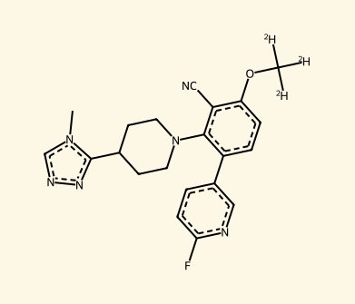 [2H]C([2H])([2H])Oc1ccc(-c2ccc(F)nc2)c(N2CCC(c3nncn3C)CC2)c1C#N